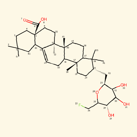 CC1(C)CC[C@]2(C(=O)O)CC[C@]3(C)C(=CCC4[C@@]5(C)CC[C@@H](C[C@@H]6OC(CF)[C@@H](O)C(O)C6O)C(C)(C)C5CC[C@]43C)C2C1